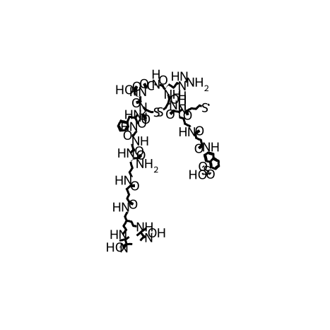 CSCCCC(=O)N[C@@H](CCCCNC(=O)CCC(=O)Nc1ccc2c(S(=O)(=O)O)cccc2c1)C(=O)N[C@H]1CSSC[C@@H](C(=O)NC(Cc2ccccc2)C(=O)NCC(=O)NCC(=O)N[C@@H](CCCCNC(=O)CCCC(=O)NCCC(CCNC(C)(C)/C(C)=N\O)CCNC(C)(C)/C(C)=N\O)C(N)=O)NC(=O)[C@H](CC(=O)O)NC(=O)CNC(=O)[C@H](CCCNC(=N)N)NC1=O